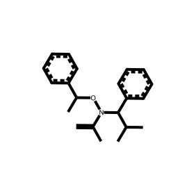 C=C(C)N(OC(C)c1ccccc1)C(c1ccccc1)C(C)C